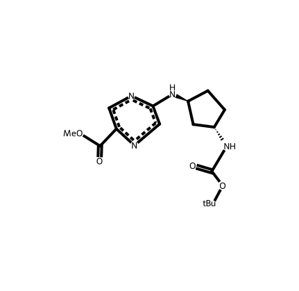 COC(=O)c1cnc(N[C@H]2CC[C@H](NC(=O)OC(C)(C)C)C2)cn1